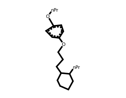 CCCOc1ccc(OCCCC2CCCCC2CCC)cc1